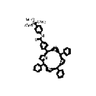 CO[Si](OC)(OC)c1ccc(NC(=O)c2ccc(-c3c4nc(c(-c5ccccc5)c5ccc([nH]5)c(-c5ccccc5)c5nc(c(-c6ccccc6)c6ccc3[nH]6)C=C5)C=C4)cc2)cc1